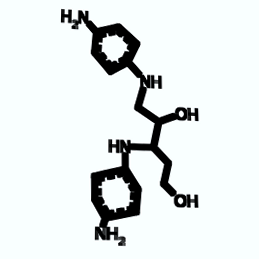 Nc1ccc(NCC(O)C(CCO)Nc2ccc(N)cc2)cc1